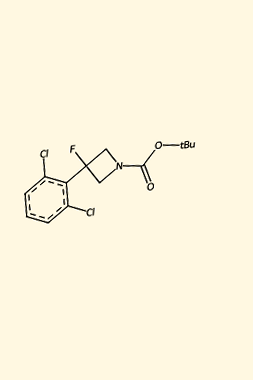 CC(C)(C)OC(=O)N1CC(F)(c2c(Cl)cccc2Cl)C1